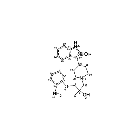 CC(O)(COc1ccccc1N)CN1CCC(n2c(=O)[nH]c3ccccc32)CC1